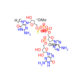 COC[C@H]1[C@@H](O)[C@H](n2c[n+](C)c3c(=O)[nH]c(N)nc32)O[C@@H]1COP(O)(=S)OP(=O)(O)OP(=O)(O)OCC1O[C@@H](n2cnc3c(N)ncnc32)[C@H](OC)[C@@H]1P(=O)([O-])OC[C@H]1O[C@@H](n2cnc3c(=O)[nH]c(N)nc32)[C@H](O)[C@@H]1O